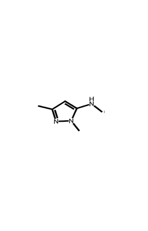 [CH]Nc1cc(C)nn1C